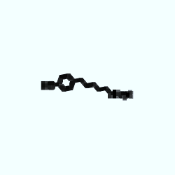 CCCCCCCCC/C=C/Cc1ccc(O)cc1